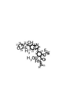 COc1cc(-c2cnc3cc(C(C)(C)CN4CCOCC4)ccn23)cc(OC(F)F)c1C(=O)NC1CC1